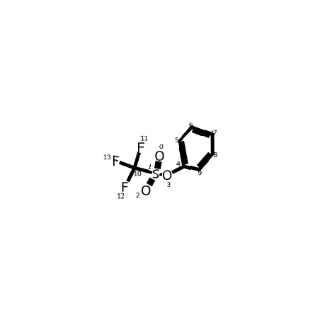 O=S(=O)(Oc1cc[c]cc1)C(F)(F)F